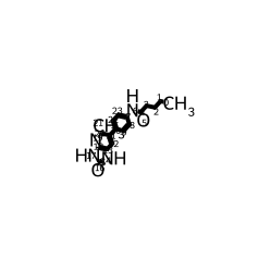 CCCCC(=O)Nc1ccc(-c2cc3[nH]c(=O)[nH]c3nc2C)cc1